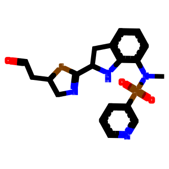 CN(c1cccc2c1NC(C1=NCC(CC=O)S1)C2)S(=O)(=O)c1cccnc1